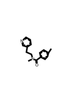 Cc1ccc(C(=O)N(C)CCc2cccnc2)cc1